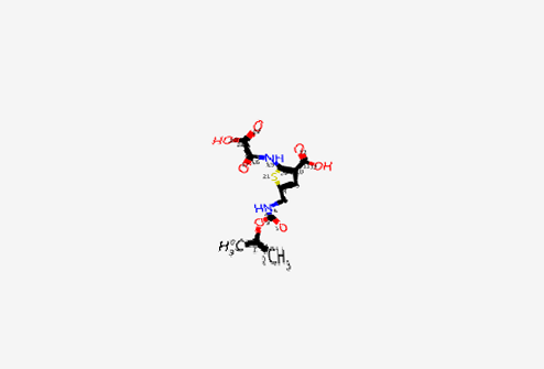 CC(C)OC(=O)NCc1cc(C(=O)O)c(NC(=O)C(=O)O)s1